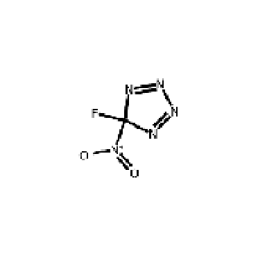 O=[N+]([O-])C1(F)N=NN=N1